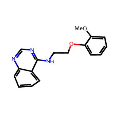 COc1ccccc1OCCNc1ncnc2ccccc12